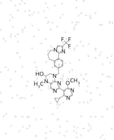 COc1ncnc(C2CC2)c1-c1ncc2c(n1)N(Cc1ccc3c(c1)CCCn1cc(C(F)(F)F)nc1-3)CC(O)N2C